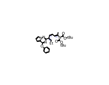 CC/C=C(/C=C\C=C(/C)N(C(=O)OC(C)(C)C)C(=O)OC(C)(C)C)c1nc(Oc2ccccc2)c2cccn2n1